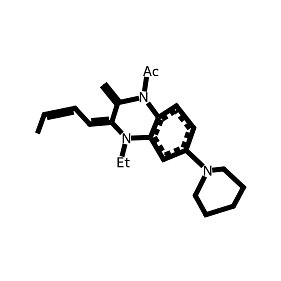 C=C1/C(=C\C=C/C)N(CC)c2cc(N3CCCCC3)ccc2N1C(C)=O